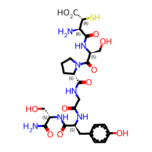 NC(=O)[C@H](CO)NC(=O)[C@H](Cc1ccc(O)cc1)NC(=O)CNC(=O)[C@@H]1CCCN1C(=O)[C@H](CO)NC(=O)[C@@H](N)[C@@H](S)C(=O)O